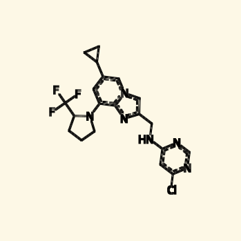 FC(F)(F)C1CCCN1c1cc(C2CC2)cn2cc(CNc3cc(Cl)ncn3)nc12